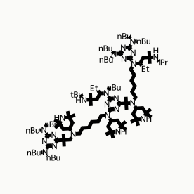 CCCCN(CCCC)c1nc(N(CCCC)CCCC)nc(N(CCCCCCN(C2CC(C)(C)NC(C)(C)C2)C(C)(C)c2nc(N(CCCC)C(CC)CC(C)(C)NC(C)(C)C)nc(N(CCCCCCN(CC(C)(C)c3nc(N(CCCC)CCCC)nc(N(CCCC)CCCC)n3)C3CC(C)(C)NC(C)(C)C3)C3CC(C)(C)NC(C)(C)C3)n2)C(CC)CC(C)(C)NC(C)C)n1